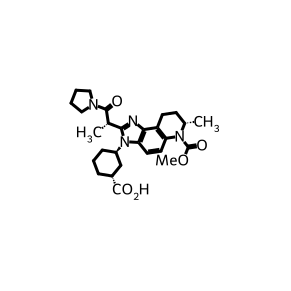 COC(=O)N1c2ccc3c(nc([C@H](C)C(=O)N4CCCC4)n3[C@@H]3CCC[C@@H](C(=O)O)C3)c2CC[C@@H]1C